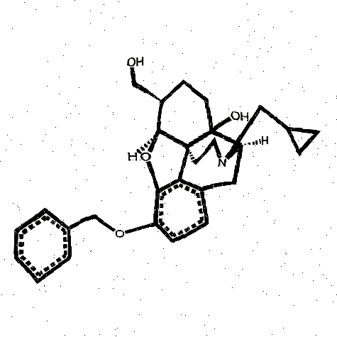 OC[C@H]1CCC2(O)[C@H]3Cc4ccc(OCc5ccccc5)c5c4[C@@]2(CCN3CC2CC2)[C@H]1O5